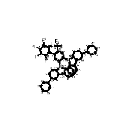 Fc1c(F)c(F)c(-c2cc(-n3c4ccccc4c4cc(-c5ccccc5)ccc43)c(-n3c4ccccc4c4cc(-c5ccccc5)ccc43)cc2C(F)(F)F)c(F)c1F